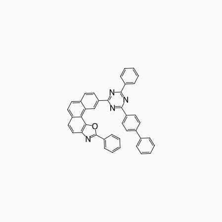 c1ccc(-c2ccc(-c3nc(-c4ccccc4)nc(-c4ccc5ccc6ccc7nc(-c8ccccc8)oc7c6c5c4)n3)cc2)cc1